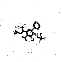 CC(C)c1c(C(CC2CC2)C(=O)O)cc(-c2ccccc2)c(OCC(F)(F)F)c1Cl